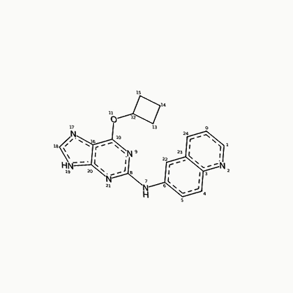 c1cnc2ccc(Nc3nc(OC4CCC4)c4nc[nH]c4n3)cc2c1